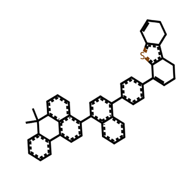 CC1(C)c2ccccc2-c2ccc(-c3ccc(-c4ccc(C5=CCCc6c5sc5c6CCC=C5)cc4)c4ccccc34)c3cccc1c23